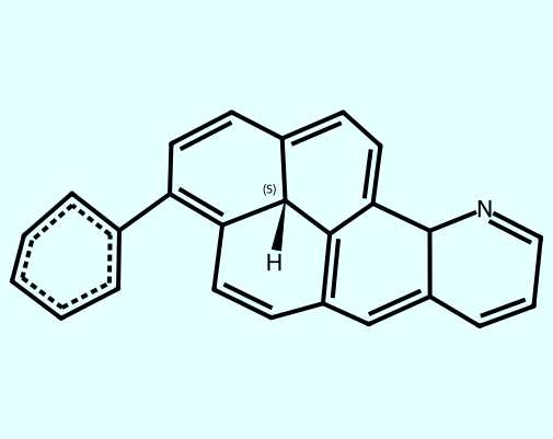 C1=CC2=CC3=C4C(=CC=C5C=CC(c6ccccc6)=C(C=C3)[C@H]54)C2N=C1